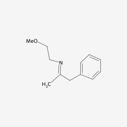 COCCN=C(C)Cc1ccccc1